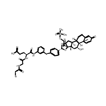 C[C@]12C=CC(=O)C=C1CC[C@@H]1[C@@H]2[C@@H](O)C[C@@]2(C)[C@H]1C[C@H]1O[C@@H](c3ccc(Cc4cccc(NC(=O)[C@H](CCC(=O)O)NC(=O)CNC(=O)CBr)c4)cc3)O[C@]12C(=O)COP(=O)(O)O